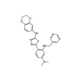 CN(C)c1ccc(-c2nnc(Nc3ccc4c(c3)OCCO4)o2)c(NCc2cncnc2)c1